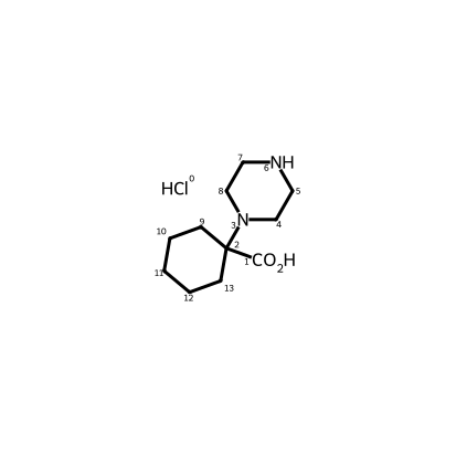 Cl.O=C(O)C1(N2CCNCC2)CCCCC1